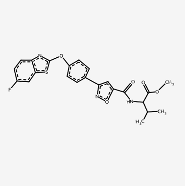 COC(=O)C(NC(=O)c1cc(-c2ccc(Oc3nc4ccc(F)cc4s3)cc2)no1)C(C)C